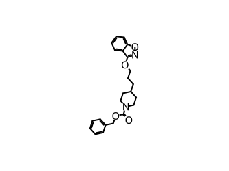 O=C(OCc1ccccc1)N1CCC(CCCOc2noc3ccccc23)CC1